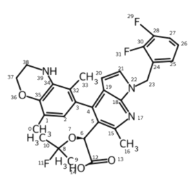 Cc1cc(-c2c([C@H](OC(C)(C)F)C(=O)O)c(C)nc3c2ccn3Cc2cccc(F)c2F)c(C)c2c1OCCN2